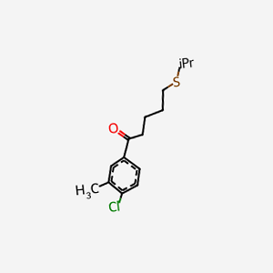 Cc1cc(C(=O)CCCCSC(C)C)ccc1Cl